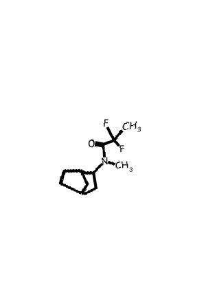 CN(C(=O)C(C)(F)F)C1CC2CCC1C2